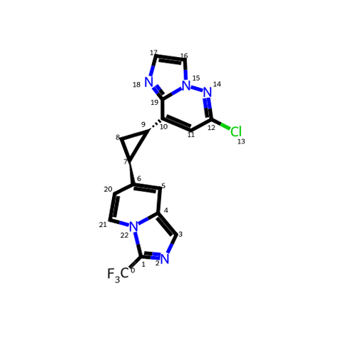 FC(F)(F)c1ncc2cc([C@H]3C[C@@H]3c3cc(Cl)nn4ccnc34)ccn12